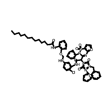 CCCCCCCCCCCCC(=O)Nc1ccccc1OCNc1ccc(Cl)c(NC(=O)C(C2=Nc3occc3S(=O)(=O)N2c2ccccc2)n2c(=O)n(Cc3ccccc3)n(-c3ccccc3)c2=O)c1